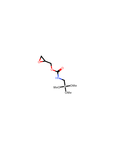 CO[Si](CNC(=O)OCC1CO1)(OC)OC